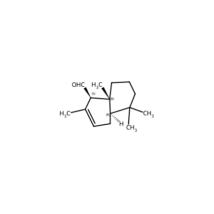 CC1=CC[C@@H]2C(C)(C)CCC[C@@]2(C)[C@@H]1C=O